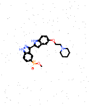 CO[PH](=O)c1ccc2[nH]nc(-c3cc4cc(OCCN5CCCCC5)ccc4[nH]3)c2c1